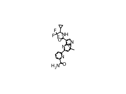 Cc1cc(-c2cccc(C(N)=O)n2)nc2c(C(=O)NC(C3CC3)C(F)(F)F)cnn12